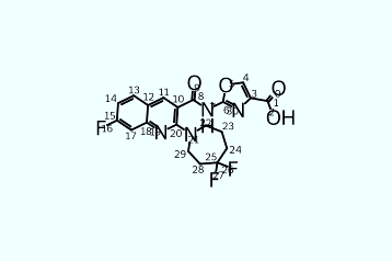 O=C(O)c1coc(NC(=O)c2cc3ccc(F)cc3nc2N2CCCC(F)(F)CC2)n1